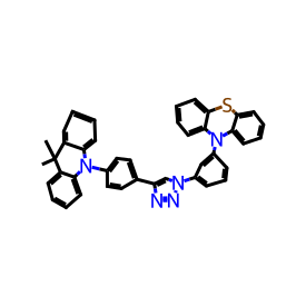 CC1(C)c2ccccc2N(c2ccc(-c3cn(-c4cccc(N5c6ccccc6Sc6ccccc65)c4)nn3)cc2)c2ccccc21